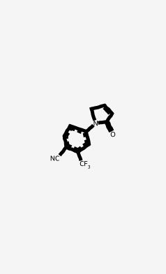 N#Cc1ccc(N2CC=CC2=O)cc1C(F)(F)F